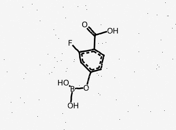 O=C(O)c1ccc(OB(O)O)cc1F